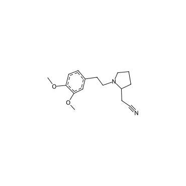 COc1ccc(CCN2CCCC2CC#N)cc1OC